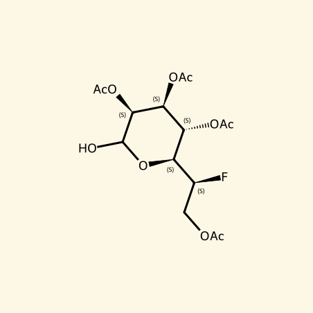 CC(=O)OC[C@H](F)[C@H]1OC(O)[C@@H](OC(C)=O)[C@@H](OC(C)=O)[C@@H]1OC(C)=O